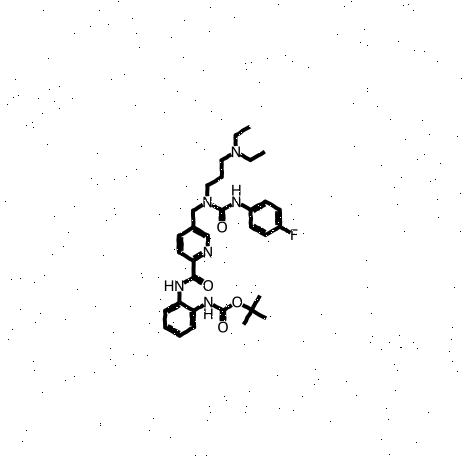 CCN(CC)CCCN(Cc1ccc(C(=O)Nc2ccccc2NC(=O)OC(C)(C)C)nc1)C(=O)Nc1ccc(F)cc1